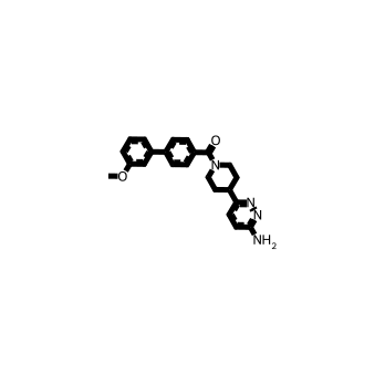 COc1cccc(-c2ccc(C(=O)N3CCC(c4ccc(N)nn4)CC3)cc2)c1